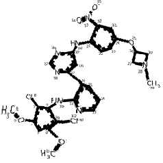 COc1cc(OC)c(Cl)c(Nc2ncccc2-c2cc(Nc3ccc(OC4CN(C)C4)cc3[N+](=O)[O-])ncn2)c1Cl